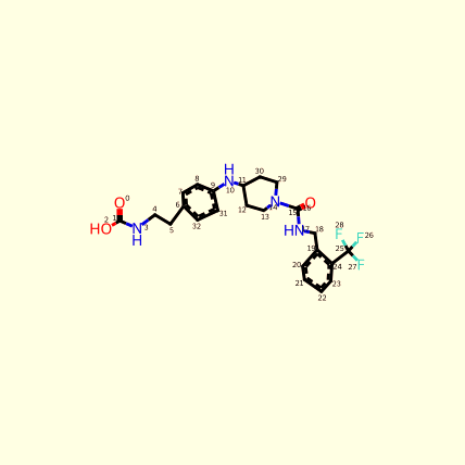 O=C(O)NCCc1ccc(NC2CCN(C(=O)NCc3ccccc3C(F)(F)F)CC2)cc1